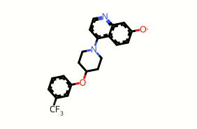 [O]c1ccc2c(N3CCC(Oc4cccc(C(F)(F)F)c4)CC3)ccnc2c1